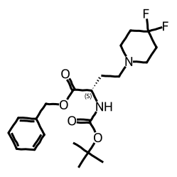 CC(C)(C)OC(=O)N[C@@H](CCN1CCC(F)(F)CC1)C(=O)OCc1ccccc1